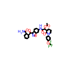 CC(=O)OC(C(=O)Nc1ccc2c(C(=O)c3ccccc3C(N)=O)noc2c1)c1cccn(-c2ccc(OC(F)(F)F)cc2)c1=O